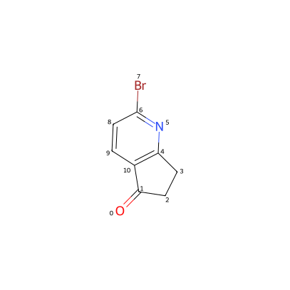 O=C1CCc2nc(Br)ccc21